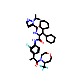 CC(C(=O)N1CCOCCC1C(F)(F)F)c1ccc(NC(=O)C(NC(=O)c2ccnn2C(C)C)C(C2CCCCC2)C2CCCCC2)c(F)c1